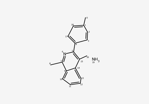 Cc1ccc(-c2nc(C)c3ccccc3c2C)cc1.N